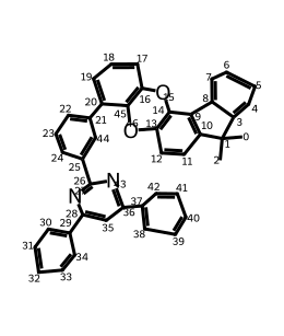 CC1(C)c2ccccc2-c2c1ccc1c2Oc2cccc(-c3cccc(-c4nc(-c5ccccc5)cc(-c5ccccc5)n4)c3)c2O1